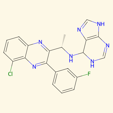 C[C@H](NC1NC=Nc2[nH]cnc21)c1nc2cccc(Cl)c2nc1-c1cccc(F)c1